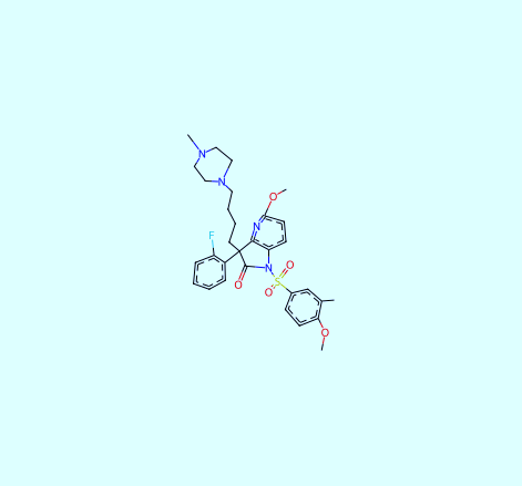 COc1ccc2c(n1)C(CCCCN1CCN(C)CC1)(c1ccccc1F)C(=O)N2S(=O)(=O)c1ccc(OC)c(C)c1